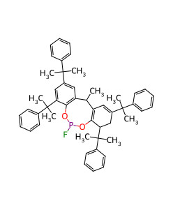 CC1C2=C(OP(F)Oc3c1cc(C(C)(C)c1ccccc1)cc3C(C)(C)c1ccccc1)C(C(C)(C)c1ccccc1)CC(C(C)(C)c1ccccc1)=C2